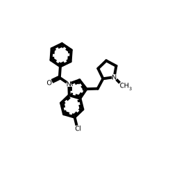 CN1CCCC1Cc1cn(C(=O)c2ccccc2)c2ccc(Cl)cc12